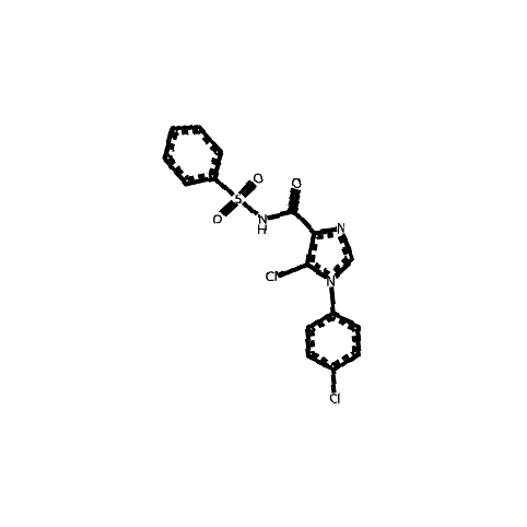 O=C(NS(=O)(=O)c1ccccc1)c1ncn(-c2ccc(Cl)cc2)c1Cl